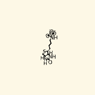 CC(C)S(=O)(=O)NCCCC[C@@H]1SC[C@@H]2NC(=O)N[C@@H]21